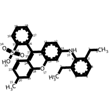 CCc1cccc(CC)c1Nc1ccc2c(c1)OC1=CC(C)C=CC1=C2c1ccccc1S(=O)(=O)O